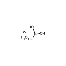 O.OP(O)O.[W]